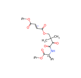 CC(C)OC(=O)/C=C/C(=O)OCC(C)(C)C(=O)C(=O)N[C@H](C(=O)OC(C)C)C(C)C